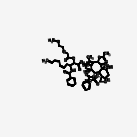 C=C/C=C\C=C/C[C@H](NC(=O)c1ccccc1)[C@@H](OC(=O)COCCOC)C(=O)O[C@H]1C[C@@]2(O)[C@@H](OC(=O)c3ccccc3)[C@@H]3[C@]4(OC(C)=O)CO[C@@H]4C[C@H](O)[C@@]3(C)C(=O)[C@H](OC(C)=O)C(=C1C)C2(C)C